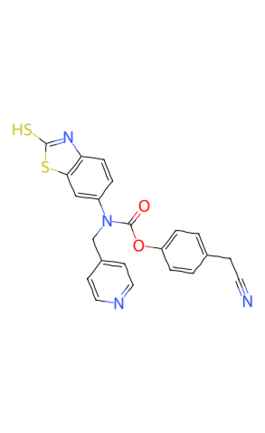 N#CCc1ccc(OC(=O)N(Cc2ccncc2)c2ccc3nc(S)sc3c2)cc1